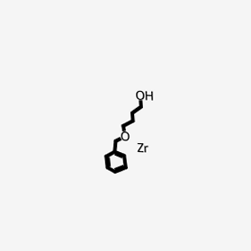 OCCCCOCc1ccccc1.[Zr]